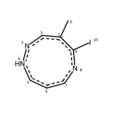 Cc1cn[nH]cccnc1I